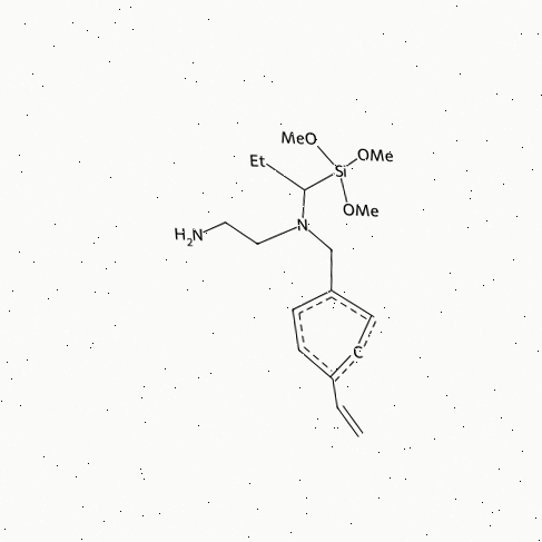 C=Cc1ccc(CN(CCN)C(CC)[Si](OC)(OC)OC)cc1